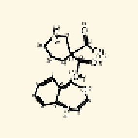 C1=COC=c2ccccc2=N1.CC(=O)C1(C(=O)O)CCCNC1